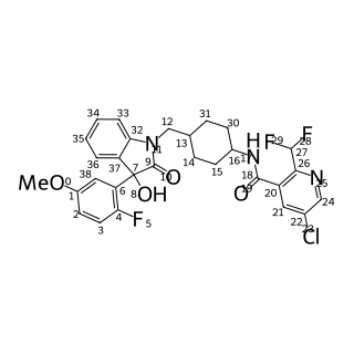 COc1ccc(F)c(C2(O)C(=O)N(CC3CCC(NC(=O)c4cc(Cl)cnc4C(F)F)CC3)c3ccccc32)c1